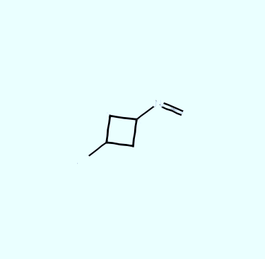 C=NC1CC(F)C1